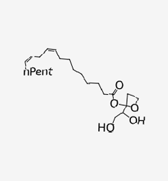 CCCCC/C=C\C/C=C\CCCCCCCC(=O)OC1(C(O)CO)CCO1